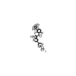 CCCS(=O)(=O)Nc1ccc(F)c(C(=O)c2c[nH]c3ncc(-c4cnc(OC(F)(F)F)nc4)cc23)c1F